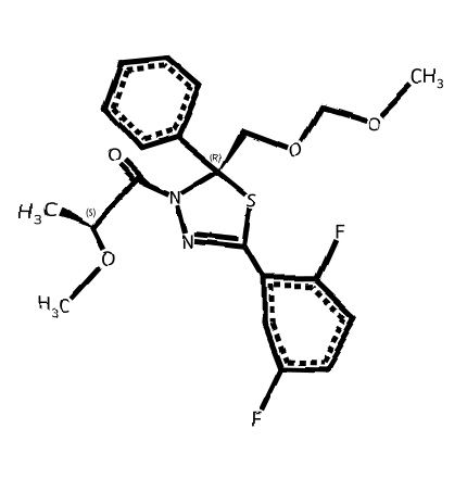 COCOC[C@@]1(c2ccccc2)SC(c2cc(F)ccc2F)=NN1C(=O)[C@H](C)OC